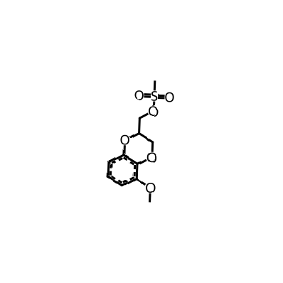 COc1cccc2c1OCC(COS(C)(=O)=O)O2